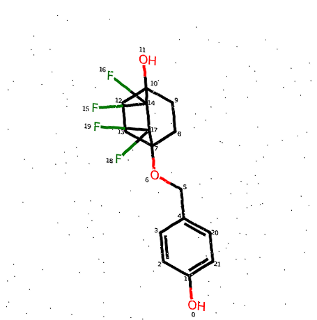 Oc1ccc(COC23CCC(O)(CC2)C(F)(F)C3(F)F)cc1